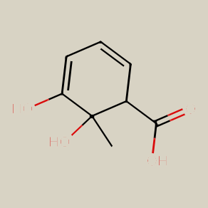 CC1(O)C(O)=CC=CC1C(=O)O